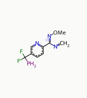 C=N/C(=N\OC)c1ccc(C(F)(F)P)cn1